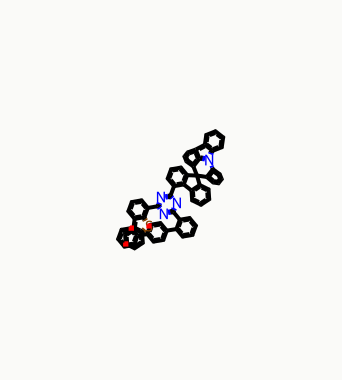 c1ccc(-c2ccc(-c3ccccc3-c3nc(-c4cccc5c4-c4ccccc4C54c5ccccc5-n5c6ccccc6c6cccc4c65)nc(-c4cccc5c4sc4ccccc45)n3)cc2)cc1